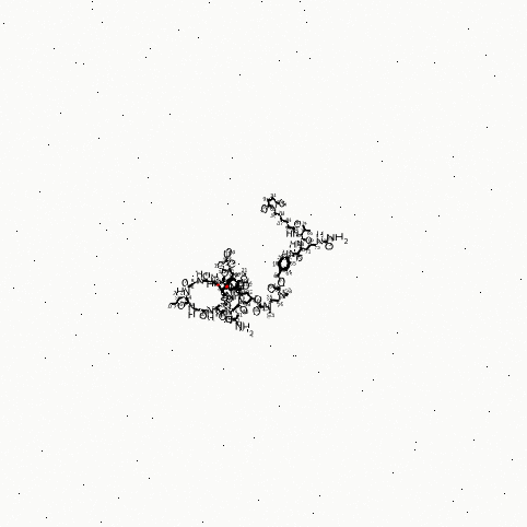 CC[C@H](C)[C@@H]1NC(=O)CNC(=O)[C@@H]2Cc3c([nH]c4cc(OC)ccc34)S(=O)(=O)C[C@H](NC(=O)CNC1=O)C(=O)N[C@@H](CC(N)=O)C(=O)N1C[C@H](OC(=O)N(C)CCN(C)C(=O)OCc3ccc(NC(=O)[C@H](CCCNC(N)=O)NC(=O)[C@@H](NC(=O)CCCCCN4C(=O)C=CC4=O)C(C)C)cc3)CC1C(=O)N[C@@H]([C@@H](C)[C@@H]1COC(=O)O1)C(=O)N2